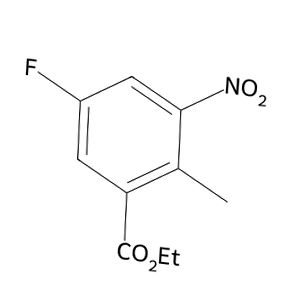 CCOC(=O)c1cc(F)cc([N+](=O)[O-])c1C